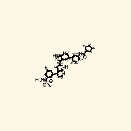 CS(=O)(=O)C(N)c1cc(F)cc(-c2ccnc3[nH]c(-c4n[nH]c5ncc(-c6cncc(NC(=O)C7CCCC7)c6)cc45)cc23)c1